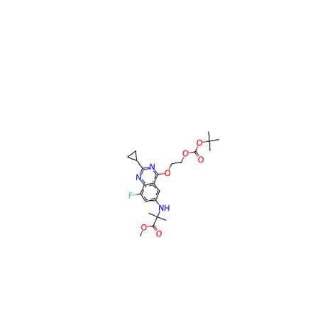 COC(=O)C(C)(C)Nc1cc(F)c2nc(C3CC3)nc(OCCOC(=O)OC(C)(C)C)c2c1